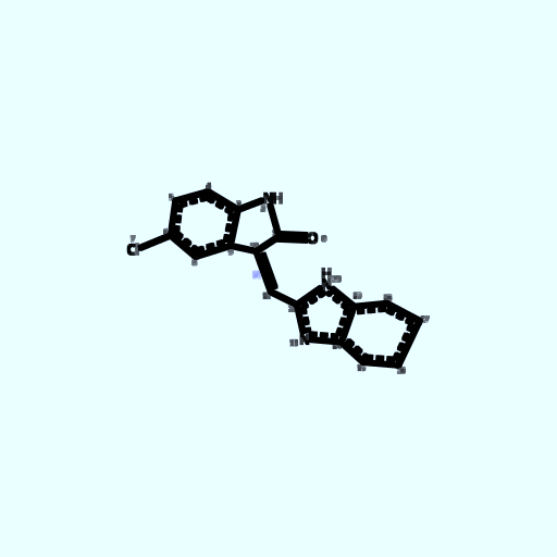 O=C1Nc2ccc(Cl)cc2/C1=C/c1nc2ccccc2[nH]1